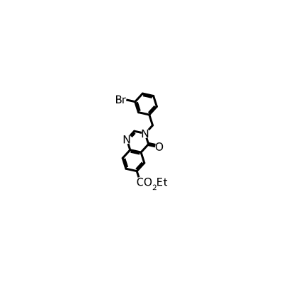 CCOC(=O)c1ccc2ncn(Cc3cccc(Br)c3)c(=O)c2c1